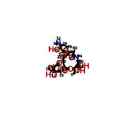 CC[C@H]1OC(=O)[C@H](C)[C@@H](OC2C[C@@](C)(OC)[C@@H](O)[C@H](C)O2)[C@H](C)[C@@H](O[C@@H]2O[C@H](C)C[C@H](N(C)C)[C@H]2O)[C@@]2(C)C[C@@H](C)C(O2)N(C)[C@H](C)[C@@H](O)[C@]1(C)O